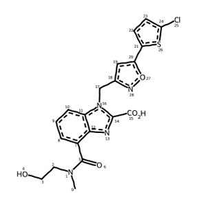 CN(CCO)C(=O)c1cccc2c1nc(C(=O)O)n2Cc1cc(-c2ccc(Cl)s2)on1